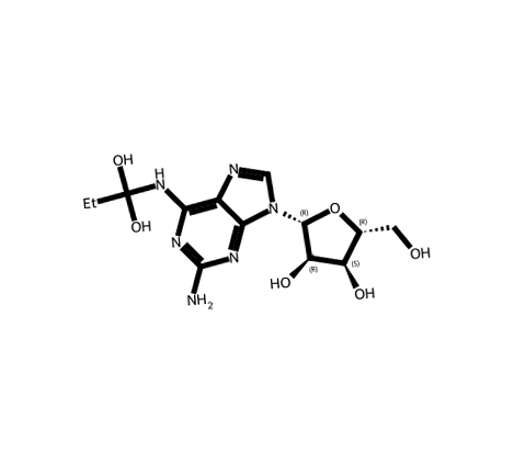 CCC(O)(O)Nc1nc(N)nc2c1ncn2[C@@H]1O[C@H](CO)[C@@H](O)[C@H]1O